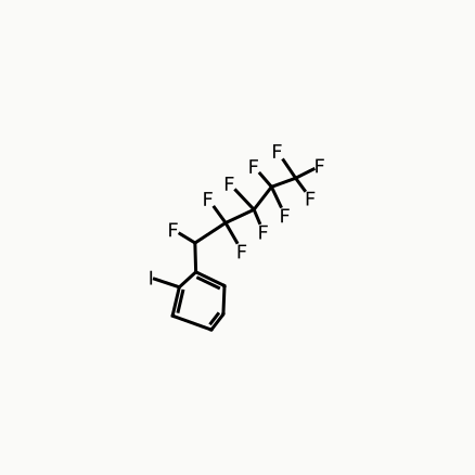 FC(c1ccccc1I)C(F)(F)C(F)(F)C(F)(F)C(F)(F)F